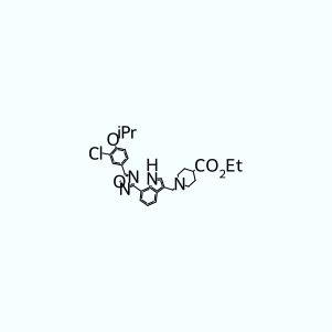 CCOC(=O)C1CCN(Cc2c[nH]c3c(-c4noc(-c5ccc(OC(C)C)c(Cl)c5)n4)cccc23)CC1